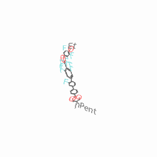 CCCCCC1COC(c2ccc(-c3ccc(-c4cc(F)c(C(F)(F)Oc5cc(F)c(OCC)c(F)c5)c(F)c4)c(F)c3)cc2)OC1